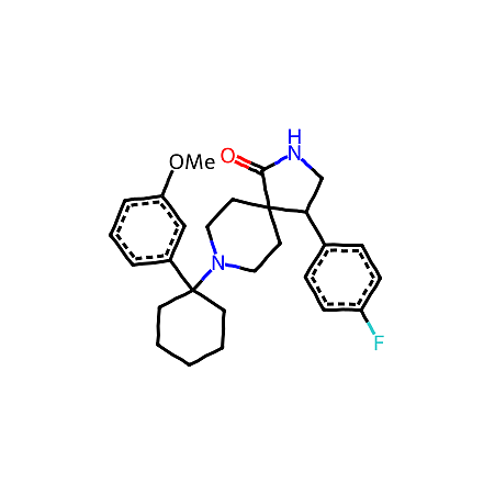 COc1cccc(C2(N3CCC4(CC3)C(=O)NCC4c3ccc(F)cc3)CCCCC2)c1